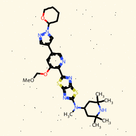 COCOc1cc(-c2cnn(C3CCCCO3)c2)cnc1-c1nc2sc(N(C)C3CC(C)(C)NC(C)(C)C3)nc2s1